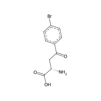 N[C@@H](CC(=O)c1ccc(Br)cc1)C(=O)O